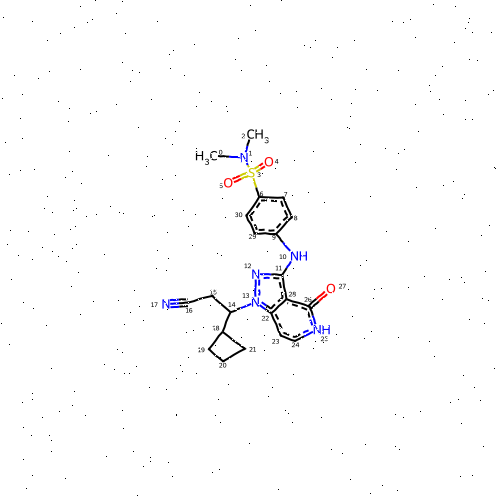 CN(C)S(=O)(=O)c1ccc(Nc2nn(C(CC#N)C3CCC3)c3cc[nH]c(=O)c23)cc1